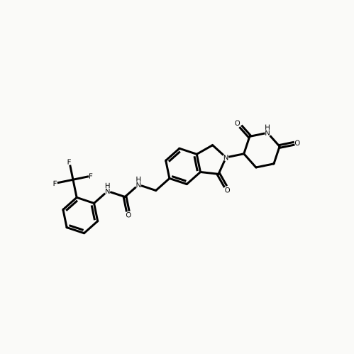 O=C1CCC(N2Cc3ccc(CNC(=O)Nc4ccccc4C(F)(F)F)cc3C2=O)C(=O)N1